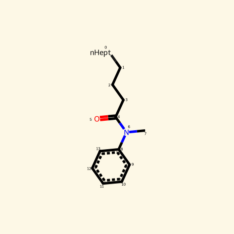 CCCCCCCCCCC(=O)N(C)c1ccccc1